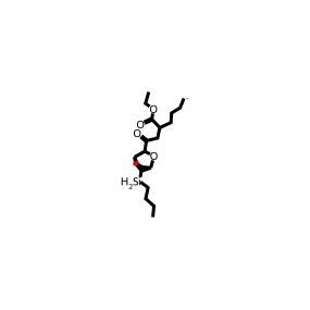 [CH2]CCCC(CC(=O)[C]1OC2CCC1CC2[SiH2]CCCC)C(=O)OCC